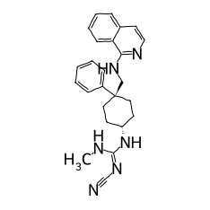 CN/C(=N\C#N)N[C@H]1CC[C@@](CNc2nccc3ccccc23)(c2ccccc2)CC1